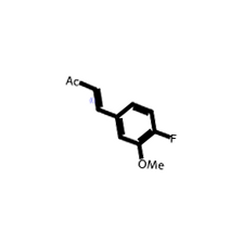 COc1cc(/C=C/C(C)=O)ccc1F